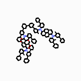 Cc1ccc(-c2ccccc2)cc1N(c1cccc(-c2ccccc2)c1C)c1ccc2ccc3c(N(c4cc(-c5cccc(-c6cccc(-c7ccc(-c8ccccc8)c(N(c8cccc(-c9ccccc9)c8C)c8ccc9ccc%10c(N(c%11cc(-c%12ccccc%12)ccc%11-c%11ccccc%11)c%11cccc(-c%12ccccc%12)c%11C)ccc%11ccc8c9c%11%10)c7)c6)c5)ccc4C)c4cccc(-c5ccccc5)c4C)ccc4ccc1c2c43